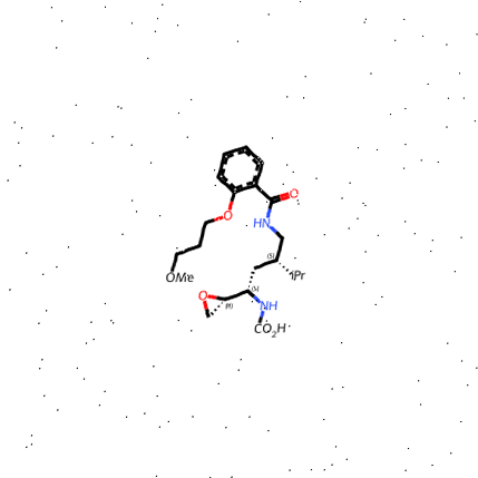 COCCCOc1ccccc1C(=O)NC[C@@H](C[C@H](NC(=O)O)[C@@H]1CO1)C(C)C